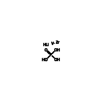 O=P(O)(O)O.[LiH].[V].[Zr]